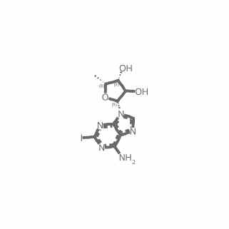 C[C@H]1O[C@@H](n2cnc3c(N)nc(I)nc32)C(O)[C@H]1O